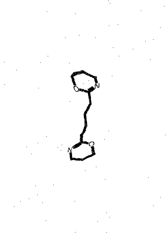 C1CN=C(CCCCC2=NCCCO2)OC1